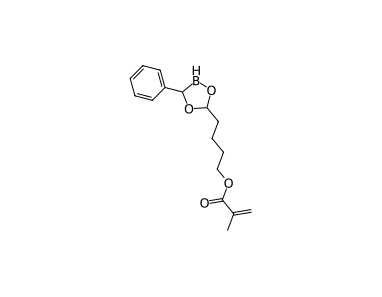 C=C(C)C(=O)OCCCCC1OBC(c2ccccc2)O1